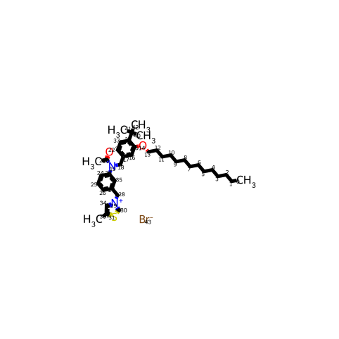 CCCCCCCCCCCCCCOc1cc(CN(C(C)=O)c2cccc(C[n+]3csc(C)c3)c2)ccc1C(C)(C)C.[Br-]